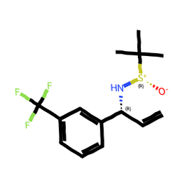 C=C[C@@H](N[S@@+]([O-])C(C)(C)C)c1cccc(C(F)(F)F)c1